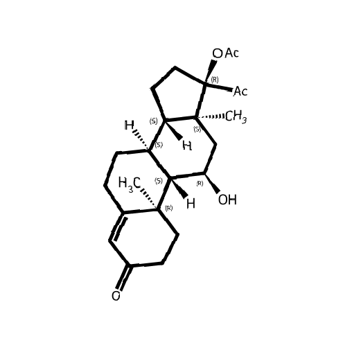 CC(=O)O[C@]1(C(C)=O)CC[C@H]2[C@@H]3CCC4=CC(=O)CC[C@]4(C)[C@H]3[C@H](O)C[C@@]21C